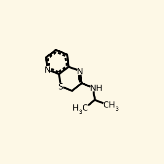 CC(C)NC1=Nc2cccnc2SC1